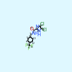 O=C(NCc1ccc(C(F)(F)F)cc1)c1nc(Cl)c(Cl)[nH]1